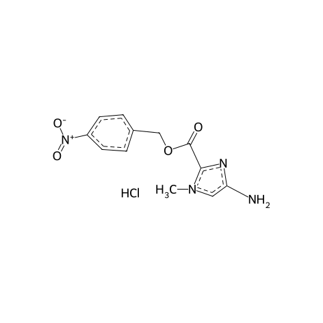 Cl.Cn1cc(N)nc1C(=O)OCc1ccc([N+](=O)[O-])cc1